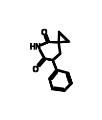 O=C1NC(=O)C2(CC2)CC1c1ccccc1